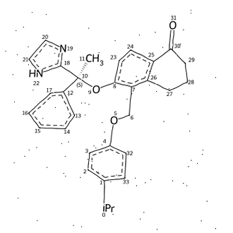 CC(C)c1ccc(OCc2c(O[C@@](C)(c3ccccc3)c3ncc[nH]3)ccc3c2CCCC3=O)cc1